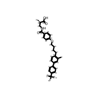 Cc1cc(-c2ccc(C(F)(F)F)cc2)ccc1CCCCOc1ccc(C(=O)NC[C@@H](C)C(=O)O)cc1